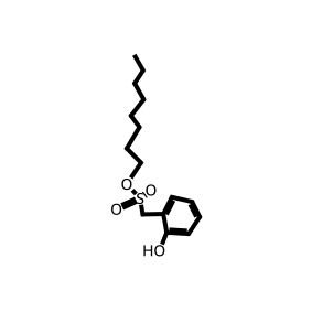 CCCCCCCCOS(=O)(=O)Cc1ccccc1O